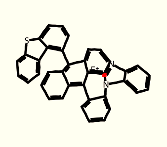 CCc1nc2ccccc2n1-c1ccccc1-c1c2ccccc2c(-c2cccc3sc4ccccc4c23)c2ccccc12